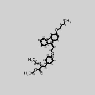 CCCCOc1ccc2c(c1)-c1ccccc1C2=CCOc1ccc(CC(OCC)C(=O)OCC)cc1